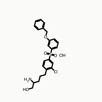 Cl.NC(CO)CCCc1ccc(S(=O)(=O)c2cccc(OCc3ccccc3)c2)cc1Cl